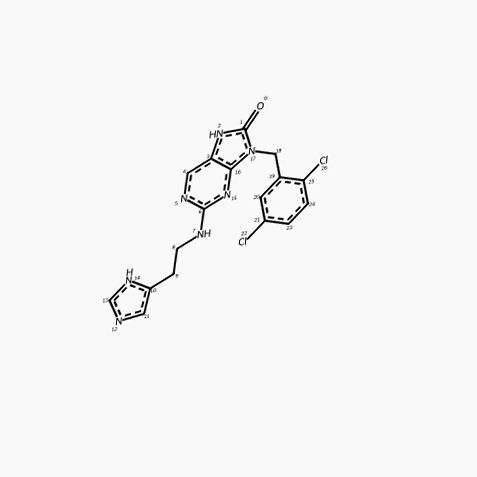 O=c1[nH]c2cnc(NCCc3cnc[nH]3)nc2n1Cc1cc(Cl)ccc1Cl